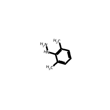 Cc1cccc(C)c1NN